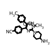 C/C(=C(\N=C(/N(C)C=O)N1CCC(N)CC1)c1ccc(C#N)cc1)c1ccc(C)cc1